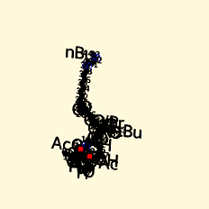 C=C[C@H]1O[C@H]2C[C@H]3OC[C@@]3(OC(C)=O)[C@H]3[C@H]4C/C(=C(/C)[C@@H](OC(=O)[C@H](OC(=O)OCC5COC(CCCCCCCC/C=C\C/C=C\CCCC)O5)[C@H](CC(C)C)NC(=O)OC(C)(C)C)CCC(C)(O)O4)[C@H](OC(C)=O)[C@H](O1)[C@]23C